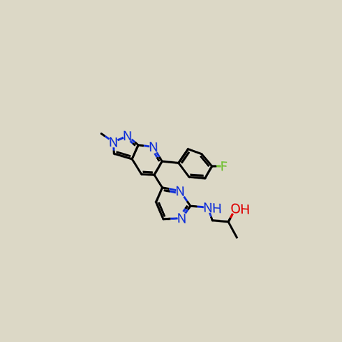 CC(O)CNc1nccc(-c2cc3cn(C)nc3nc2-c2ccc(F)cc2)n1